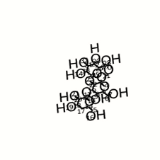 O=COC1OC(CO)C(O)C(OC2OC(CO)CC(O)C2O)C1OC1OC(CO)C(O)C(O)C1O